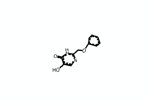 O=c1[nH]c(COc2ccccc2)ncc1O